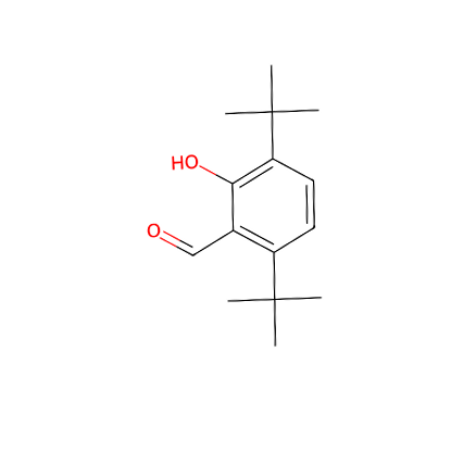 CC(C)(C)c1ccc(C(C)(C)C)c(C=O)c1O